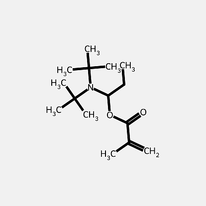 C=C(C)C(=O)OC(CC)N(C(C)(C)C)C(C)(C)C